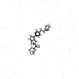 O=C(C1CCOCC1)N1CC2CCC(c3ccc(CCN4CCCC4)cc3)C2C1